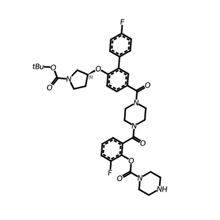 CC(C)(C)OC(=O)N1CC[C@H](Oc2ccc(C(=O)N3CCN(C(=O)c4cccc(F)c4OC(=O)N4CCNCC4)CC3)cc2-c2ccc(F)cc2)C1